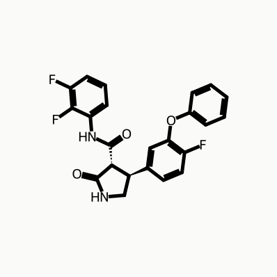 O=C1NC[C@H](c2ccc(F)c(Oc3ccccc3)c2)[C@H]1C(=O)Nc1cccc(F)c1F